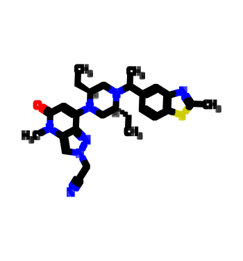 CC[C@H]1CN(C(C)c2ccc3sc(C)nc3c2)[C@H](CC)CN1c1cc(=O)n(C)c2cn(CC#N)nc12